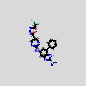 CN(C)c1nc2c(-c3ccccc3)cc(Nc3ncc(-c4nnc(C(F)F)o4)cn3)cc2[nH]1